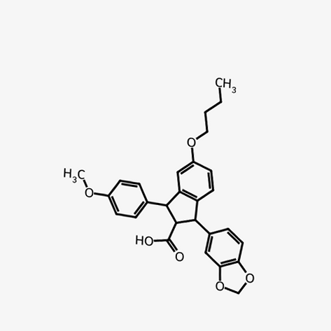 CCCCOc1ccc2c(c1)C(c1ccc(OC)cc1)C(C(=O)O)C2c1ccc2c(c1)OCO2